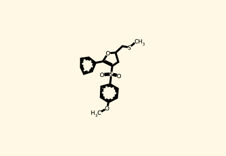 COc1ccc(S(=O)(=O)C2=C(c3ccccc3)OC(CSC)C2)cc1